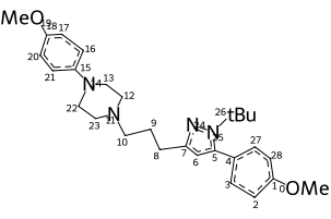 COc1ccc(-c2cc(CCCN3CCN(c4ccc(OC)cc4)CC3)nn2C(C)(C)C)cc1